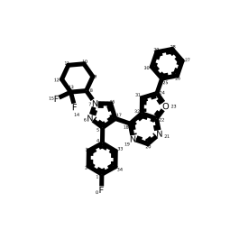 Fc1ccc(-c2nn(C3CCCCC3(F)F)cc2-c2ncnc3oc(-c4ccccc4)cc23)cc1